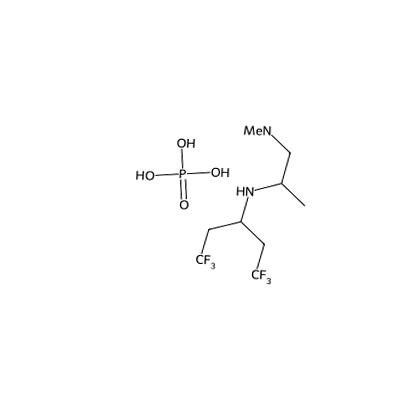 CNCC(C)NC(CC(F)(F)F)CC(F)(F)F.O=P(O)(O)O